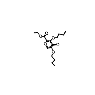 CCCCOc1coc(C(=O)OCC)c(OCCCC)c1=O